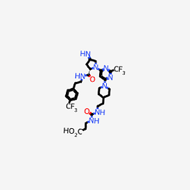 N=C1C[C@@H](C(=O)NCCc2ccc(C(F)(F)F)cc2)N(c2cc(N3CCC(CCNC(=O)NCCC(=O)O)CC3)nc(C(F)(F)F)n2)C1